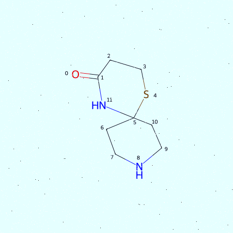 O=C1CCSC2(CCNCC2)N1